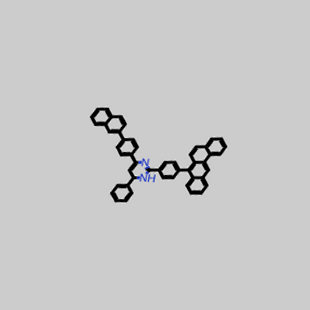 C1=C(c2ccc(-c3ccc4ccccc4c3)cc2)N=C(c2ccc(-c3c4ccccc4cc4c3ccc3ccccc34)cc2)NC1c1ccccc1